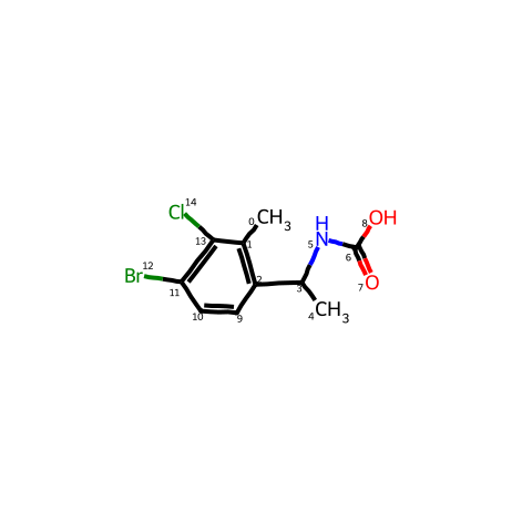 Cc1c(C(C)NC(=O)O)ccc(Br)c1Cl